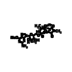 COc1nc(N)nc2c1ncn2[C@@H]1OC(COP(=O)(N[C@@H](C)C(=O)OC(C)C)SCC2C(=O)N(C)C(=O)N2C)[C@@H](O)[C@@]1(C)O